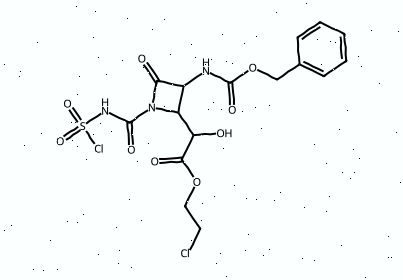 O=C(NC1C(=O)N(C(=O)NS(=O)(=O)Cl)C1C(O)C(=O)OCCCl)OCc1ccccc1